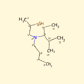 CCCCN(CC(C)S)C(CC)C(C)C